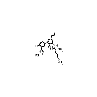 CC=Cc1cc(NC(=O)[C@H](N)CCCCN)c(O)c(-c2ccc(O)c(C=CC)c2)c1.Cl.Cl